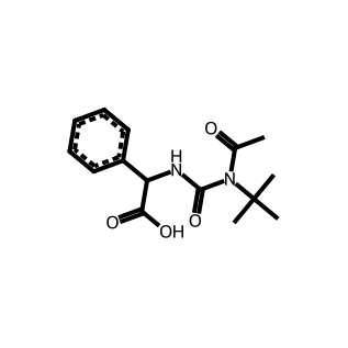 CC(=O)N(C(=O)NC(C(=O)O)c1ccccc1)C(C)(C)C